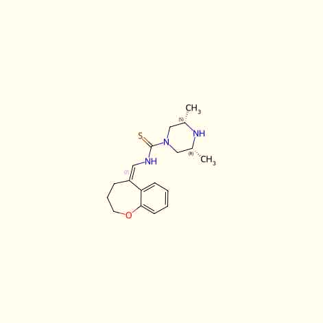 C[C@@H]1CN(C(=S)N/C=C2/CCCOc3ccccc32)C[C@H](C)N1